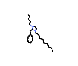 CCCCCCCCCN1C=CN(CCCCC)C1Cc1ccccc1